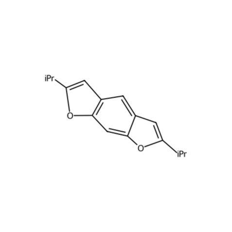 CC(C)c1cc2cc3cc(C(C)C)oc3cc2o1